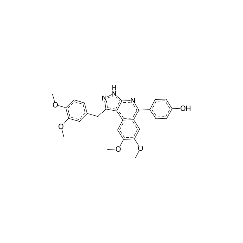 COc1ccc(Cc2n[nH]c3nc(-c4ccc(O)cc4)c4cc(OC)c(OC)cc4c23)cc1OC